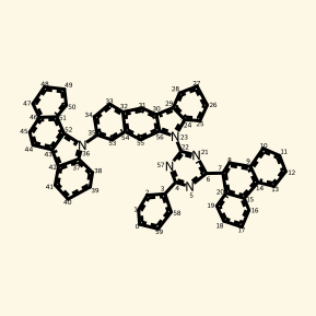 c1ccc(-c2nc(-c3cc4ccccc4c4ccccc34)nc(-n3c4ccccc4c4cc5ccc(-n6c7ccccc7c7ccc8ccccc8c76)cc5cc43)n2)cc1